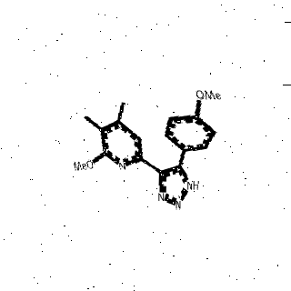 COc1ccc(-c2[nH]nnc2-c2cc(C)c(C)c(OC)n2)cc1